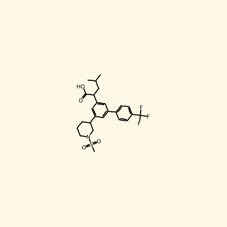 CC(C)CC(C(=O)O)c1cc(-c2ccc(C(F)(F)F)cc2)cc(C2CCCN(S(C)(=O)=O)C2)c1